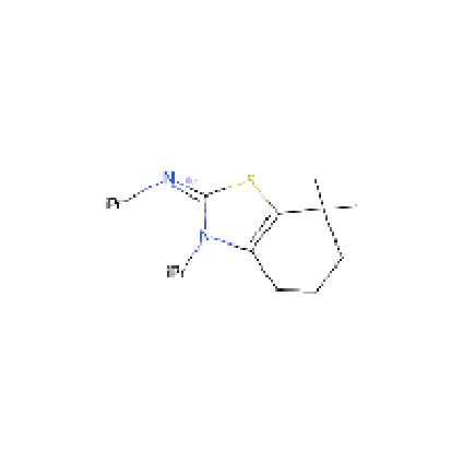 CC(C)/N=c1/sc2c(n1C(C)C)CCCC2(C)C